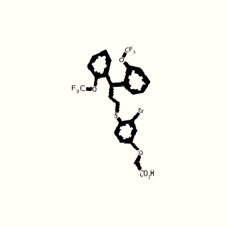 O=C(O)COc1ccc(SCC=C(c2ccccc2OC(F)(F)F)c2ccccc2OC(F)(F)F)c(Br)c1